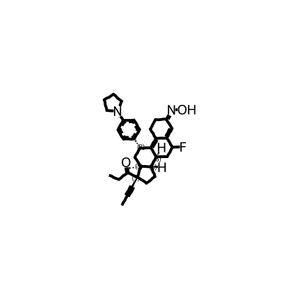 CC#C[C@]1(C(=O)CC)CC[C@H]2[C@@H]3CC(F)C4=CC(=NO)CCC4=C3[C@@H](c3ccc(N4CCCC4)cc3)C[C@@]21C